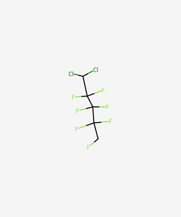 FCC(F)(F)C(F)(F)C(F)(F)C(Cl)Cl